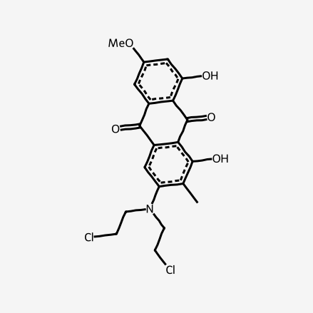 COc1cc(O)c2c(c1)C(=O)c1cc(N(CCCl)CCCl)c(C)c(O)c1C2=O